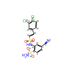 N#Cc1ccc(S(N)(=O)=O)c(NS(=O)(=O)C=Cc2ccc(Cl)c(Cl)c2)c1